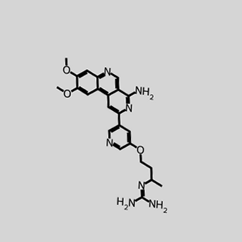 COc1cc2ncc3c(N)nc(-c4cncc(OCCC(C)N=C(N)N)c4)cc3c2cc1OC